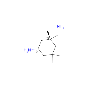 CC1(C)C[C@H](N)C[C@](C)(CN)C1